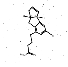 COC(=O)CCCc1cc(Cl)cc2c1O[C@@H]1CC=C[C@H]21